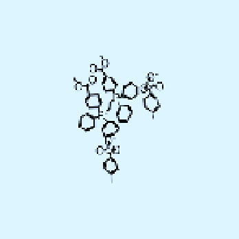 COC(=O)c1ccc([P+](CC[P+](c2ccccc2)(c2ccccc2)c2ccc(C(=O)OC)cc2)(c2ccccc2)c2ccccc2)cc1.Cc1ccc(S(=O)(=O)[O-])cc1.Cc1ccc(S(=O)(=O)[O-])cc1